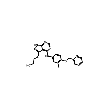 Cc1cc(Nc2ncnc3[nH]nc(OCCO)c23)ccc1OCc1ccccn1